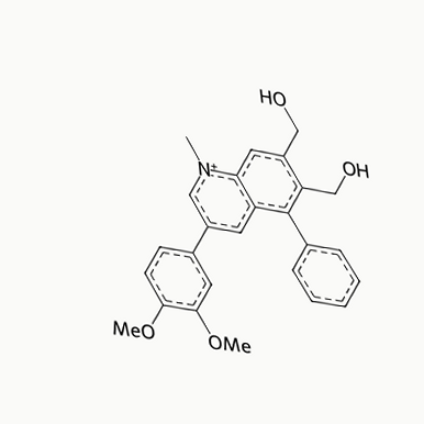 COc1ccc(-c2cc3c(-c4ccccc4)c(CO)c(CO)cc3[n+](C)c2)cc1OC